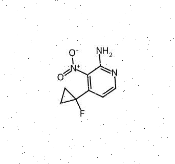 Nc1nccc(C2(F)CC2)c1[N+](=O)[O-]